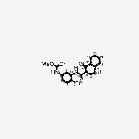 CCc1ccc(NC(=O)OC)cc1NC(=O)c1c[nH]c2ccccc2c1=O